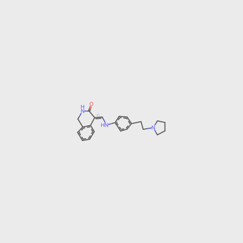 O=C1NCc2ccccc2/C1=C\Nc1ccc(CCN2CCCC2)cc1